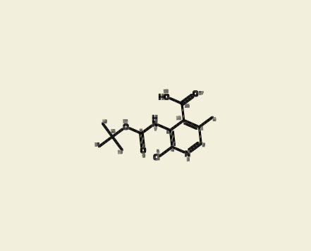 Cc1cnc(Cl)c(NC(=O)OC(C)(C)C)c1C(=O)O